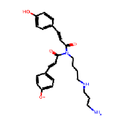 NCCCNCCCCN(C(=O)/C=C/c1ccc(O)cc1)C(=O)/C=C/c1ccc(O)cc1